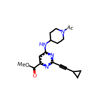 COC(=O)c1cc(NC2CCN(C(C)=O)CC2)nc(C#CC2CC2)n1